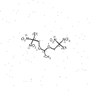 CCC(COC(C)OCC(CC)([N+](=O)[O-])[N+](=O)[O-])([N+](=O)[O-])[N+](=O)[O-]